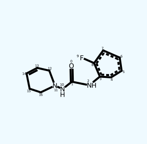 O=C(Nc1ccccc1F)NN1CC=CCC1